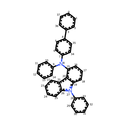 c1ccc(-c2ccc(N(c3ccccc3)c3cccc4c3c3ccccc3n4-c3ccccc3)cc2)cc1